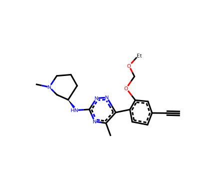 C#Cc1ccc(-c2nnc(N[C@@H]3CCCN(C)C3)nc2C)c(OCOCC)c1